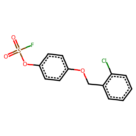 O=S(=O)(F)Oc1ccc(OCc2ccccc2Cl)cc1